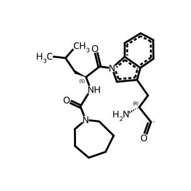 CC(C)C[C@H](NC(=O)N1CCCCCC1)C(=O)n1cc(C[C@@H](N)[C]=O)c2ccccc21